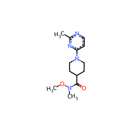 CON(C)C(=O)C1CCN(c2ccnc(C)n2)CC1